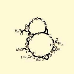 CC[C@H](C)[C@@H]1NC(=O)[C@H](CC(=O)O)NC(=O)[C@H](CCSC)NC(=O)[C@@H]2CCCN2C(=O)[C@@H]2CSCc3cc(cc(c3)OCCCCCCO/N=C/C(=O)N[C@@H](CCC(N)=O)C(=O)N2)CSC[C@@H](C(N)=O)NC(=O)[C@H]([C@@H](C)O)NC(=O)[C@@H]2CCCN2C1=O